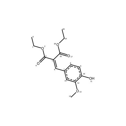 CCOC(=O)C(=Cc1ccc(O)c(OC)c1)C(=O)OCC